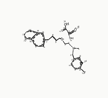 CN(CCOCCc1ccc2sccc2c1)Cc1ccc(F)cc1.O=C(O)C(=O)O